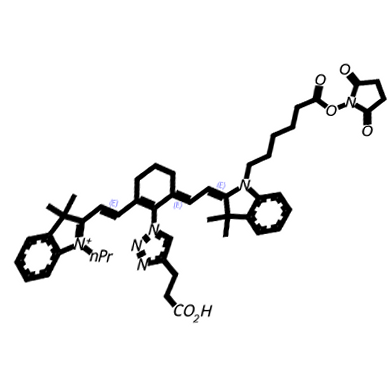 CCC[N+]1=C(/C=C/C2=C(n3cc(CCC(=O)O)nn3)C(=C/C=C3/N(CCCCCC(=O)ON4C(=O)CCC4=O)c4ccccc4C3(C)C)/CCC2)C(C)(C)c2ccccc21